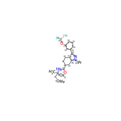 COCC(C)(C)NC(=O)C1CCc2c(-c3cccc(OC(F)F)c3)nn(C(C)C)c2C1